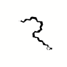 [CH2]CCC/C=C\C/C=C\C/C=C\C/C=C\CCCCCOC